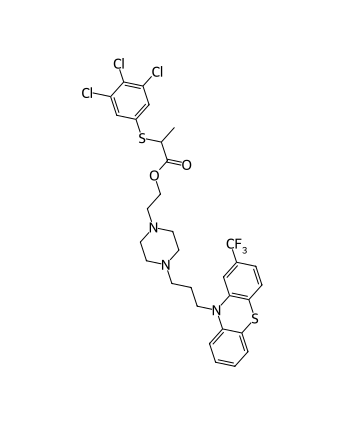 CC(Sc1cc(Cl)c(Cl)c(Cl)c1)C(=O)OCCN1CCN(CCCN2c3ccccc3Sc3ccc(C(F)(F)F)cc32)CC1